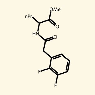 CCCC(NC(=O)Cc1cccc(F)c1F)C(=O)OC